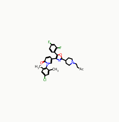 CC(=O)CCN1CCC(c2nc(-c3ccc(=O)n(-c4c(C)cc(Cl)cc4C)c3)c(-c3ccc(F)cc3F)o2)CC1